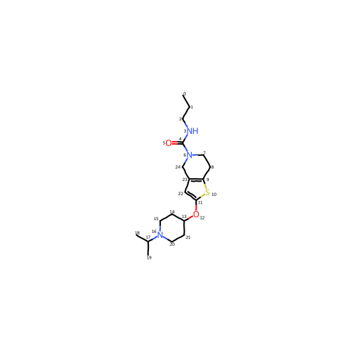 CCCNC(=O)N1CCc2sc(OC3CCN(C(C)C)CC3)cc2C1